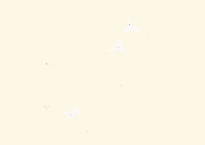 CO/N=C(\OCC(=O)OC)C(C)Oc1ccc(Cn2c(=O)cc(C(F)(F)F)n(C)c2=O)c(Cl)c1Cl